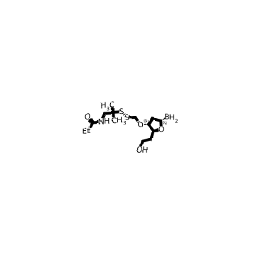 B[C@H]1C[C@@H](OCSSC(C)(C)CNC(=O)CC)C(CCO)O1